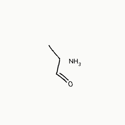 CCC=O.N